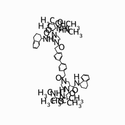 CN[C@@H](C)C(=O)N[C@H](C(=O)N1CCN(C(=O)Cc2ccc(-c3ccc(CC(=O)N4CCN(C(=O)[C@@H](NC(=O)[C@H](C)NC)C(C)(C)C)[C@H](C(=O)N[C@@H]5CCCc6ccccc65)C4)cc3)cc2)C[C@H]1C(=O)N[C@@H]1CCCc2ccccc21)C(C)(C)C